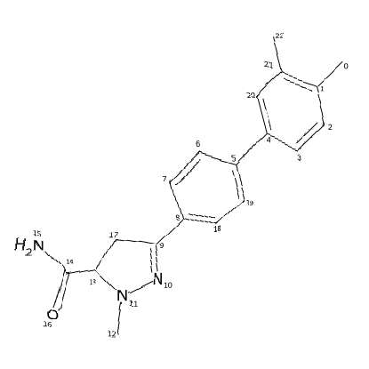 Cc1ccc(-c2ccc(C3=NN(C)C(C(N)=O)C3)cc2)cc1C